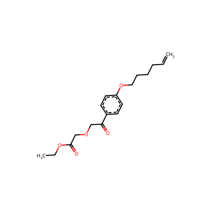 C=CCCCCOc1ccc(C(=O)COCC(=O)OCC)cc1